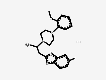 COc1ccccc1N1CCN(C(N)Cc2nc3ccc(F)cc3o2)CC1.Cl